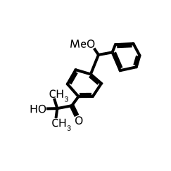 COC(c1ccccc1)c1ccc(C(=O)C(C)(C)O)cc1